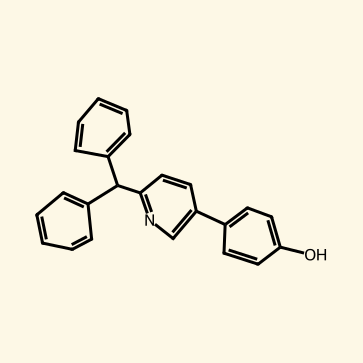 Oc1ccc(-c2ccc(C(c3ccccc3)c3ccccc3)nc2)cc1